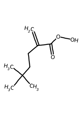 C=C(CCC(C)(C)C)C(=O)OO